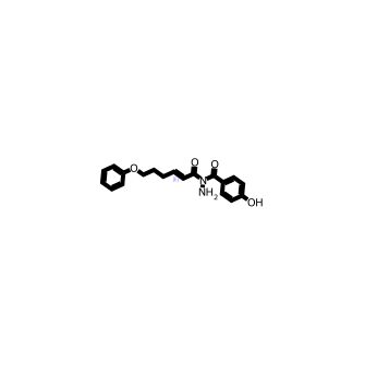 NN(C(=O)/C=C/CCCOc1ccccc1)C(=O)c1ccc(O)cc1